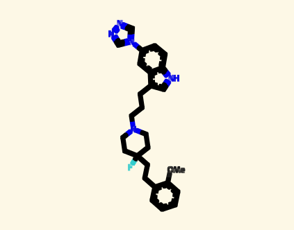 COc1ccccc1CCC1(F)CCN(CCCc2c[nH]c3ccc(-n4cnnc4)cc23)CC1